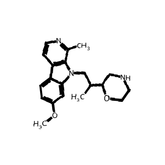 COc1ccc2c3ccnc(C)c3n(CC(C)C3CNCCO3)c2c1